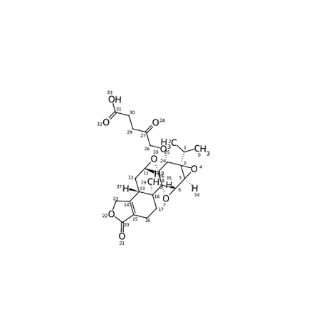 CC(C)[C@]12O[C@H]1[C@@H]1O[C@]13[C@]1(O[C@H]1C[C@H]1C4=C(CC[C@@]13C)C(=O)OC4)[C@@H]2OCC(=O)CCC(=O)O